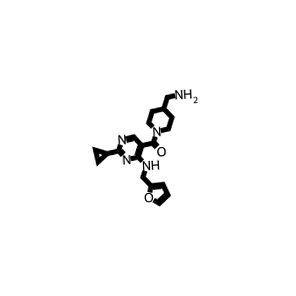 NCC1CCN(C(=O)c2cnc(C3CC3)nc2NCc2ccco2)CC1